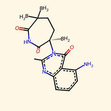 BC1(B)CC[C@@](B)(n2c(C)nc3cccc(N)c3c2=O)C(=O)NC1=O